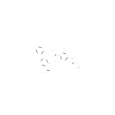 COC(=O)c1ccc(NC(=O)OC(C)(C)C)cc1CCOc1c(OCc2ccccc2)cccc1C(=O)O